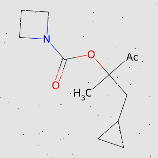 CC(=O)C(C)(CC1CC1)OC(=O)N1CCC1